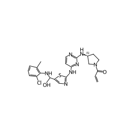 C=CC(=O)N1CC[C@H](Nc2nccc(Nc3ncc(C(O)Nc4c(C)cccc4Cl)s3)n2)C1